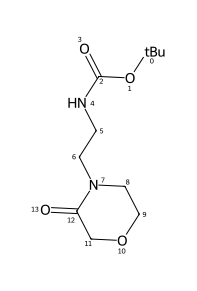 CC(C)(C)OC(=O)NCCN1CCOCC1=O